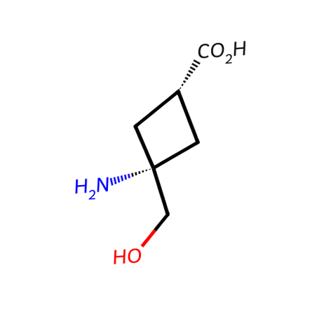 N[C@]1(CO)C[C@H](C(=O)O)C1